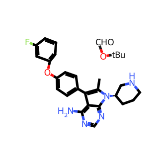 CC(C)(C)OC=O.Cc1c(-c2ccc(Oc3cccc(F)c3)cc2)c2c(N)ncnc2n1[C@@H]1CCCNC1